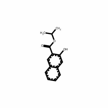 CC(C)OC(=O)c1cc2ccccc2cc1O